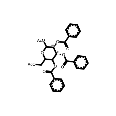 CC(=O)OCC1OC(OC(C)=O)[C@@H](OC(=O)c2ccccc2)[C@H](OC(=O)c2ccccc2)C1OC(=O)c1ccccc1